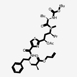 C=CCOC(=O)[C@@H](C)C[C@H](Cc1ccccc1)NC(=O)c1csc([C@@H](C[C@H](C(C)C)N(C)C(=O)[C@@H](NC(=O)OC(C)(C)C)[C@@H](C)CC)OC(C)=O)n1